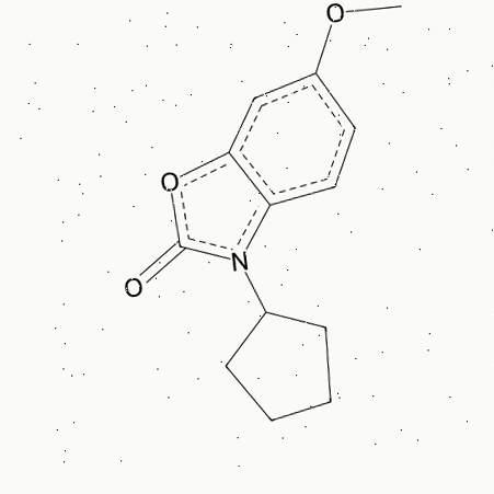 COc1ccc2c(c1)oc(=O)n2C1CCCC1